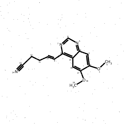 COc1cc2ncnc(/C=C/CCC#N)c2cc1OC